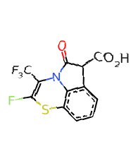 O=C(O)C1C(=O)N2C(C(F)(F)F)=C(F)Sc3cccc1c32